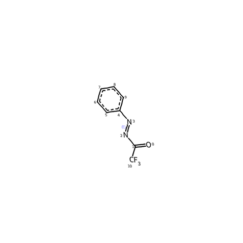 O=C(/N=N/c1ccccc1)C(F)(F)F